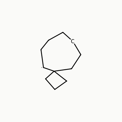 [CH]1CCCCCCC12CCC2